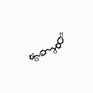 O=C(CCCC1CCN(CCC2(Cl)CC=CS2)CC1)c1ccc2c(c1)CCNCC2